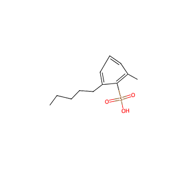 CCCCCc1cccc(C)c1S(=O)(=O)O